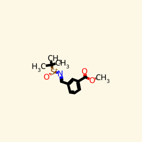 COC(=O)c1cccc(C=N[S@@+]([O-])C(C)(C)C)c1